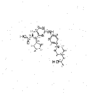 C[C@@H](O)CN1CCN(c2ccc(Nc3ncc4cc(C(=O)O)n(C5CCCC5)c4n3)nc2)CC1